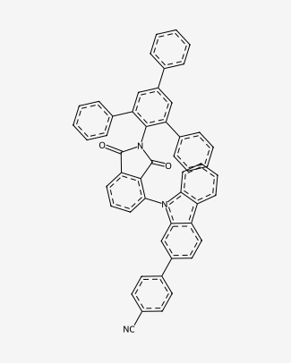 N#Cc1ccc(-c2ccc3c4ccccc4n(-c4cccc5c4C(=O)N(c4c(-c6ccccc6)cc(-c6ccccc6)cc4-c4ccccc4)C5=O)c3c2)cc1